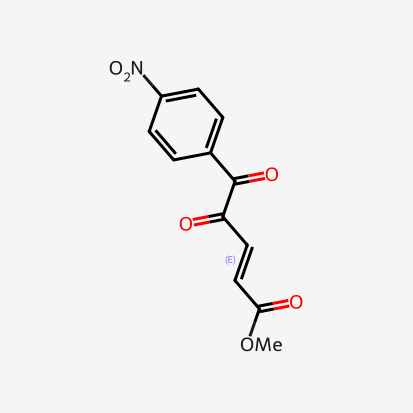 COC(=O)/C=C/C(=O)C(=O)c1ccc([N+](=O)[O-])cc1